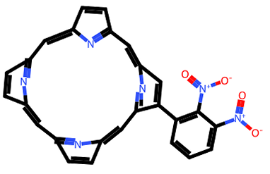 O=[N+]([O-])c1cccc(C2=CC3=CC4=NC(=CC5=NC(=CC6=NC(=CC2=N3)C=C6)C=C5)C=C4)c1[N+](=O)[O-]